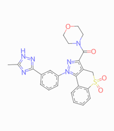 Cc1nc(-c2cccc(-n3nc(C(=O)N4CCOCC4)c4c3-c3ccccc3S(=O)(=O)C4)c2)n[nH]1